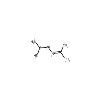 CC(C)=NNC(N)S